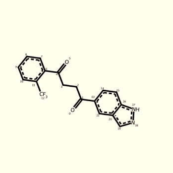 O=C(CCC(=O)c1ccccc1C(F)(F)F)c1ccc2[nH]ncc2c1